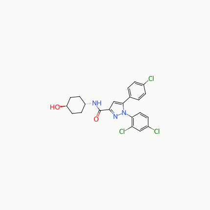 O=C(N[C@H]1CC[C@H](O)CC1)c1cc(-c2ccc(Cl)cc2)n(-c2ccc(Cl)cc2Cl)n1